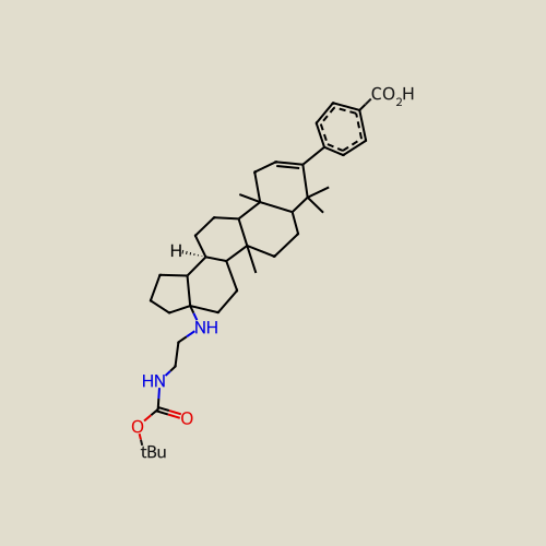 CC(C)(C)OC(=O)NCCNC12CCCC1[C@H]1CCC3C(C)(CCC4C(C)(C)C(c5ccc(C(=O)O)cc5)=CCC43C)C1CC2